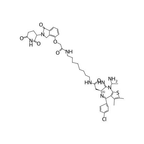 Cc1sc2c(c1C)C(c1ccc(Cl)cc1)=N[C@@H](CC(=O)NCCCCCCCCNC(=O)COc1cccc3c1CN(C1CCC(=O)NC1=O)C3=O)C(=N)N2C(C)N